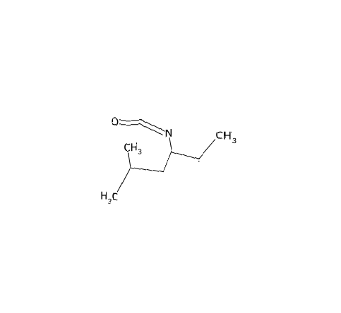 C[CH]C(CC(C)C)N=C=O